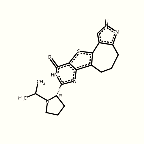 CC(C)N1CCC[C@H]1c1nc2c3c(sc2c(=O)[nH]1)-c1c[nH]nc1CCC3